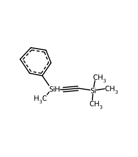 C[SiH](C#C[Si](C)(C)C)c1ccccc1